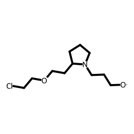 [O]CCCN1CCCC1CCOCCCl